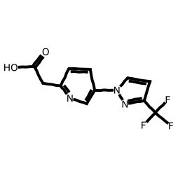 O=C(O)Cc1ccc(-n2ccc(C(F)(F)F)n2)cn1